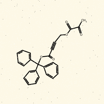 CC(=O)C(=O)OCC#CC(=O)OC(c1ccccc1)(c1ccccc1)c1ccccc1